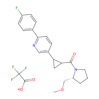 COC[C@H]1CCCN1C(=O)C1CC1c1ccc(-c2ccc(F)cc2)nc1.O=C(O)C(F)(F)F